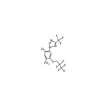 Cc1cc(Cl)c(-n2cnc(C(F)(F)F)n2)cc1SCC(F)(F)C(F)(F)F